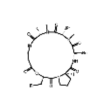 CC[C@H](C)[C@@H]1NC(=O)[C@H]2CCCN2C(=O)[C@@H](CC(C)C)OC(=O)CCNC(=O)[C@H](C)N(C)C(=O)[C@H](C(C)C)N(C)C1=O